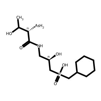 CC(O)[C@H]([AsH2])C(=O)NC[C@@H](O)CP(=O)(O)CC1CCCCC1